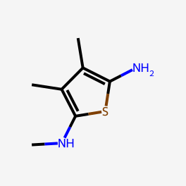 CNc1sc(N)c(C)c1C